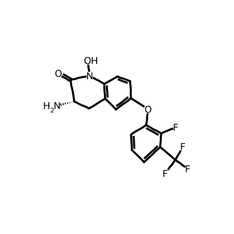 N[C@H]1Cc2cc(Oc3cccc(C(F)(F)F)c3F)ccc2N(O)C1=O